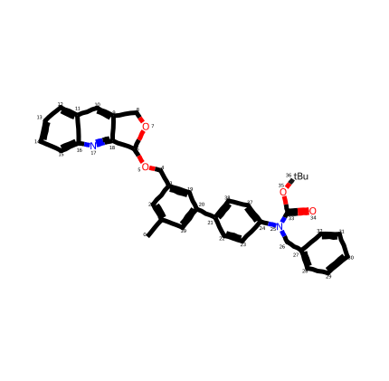 Cc1cc(COC2OCc3cc4ccccc4nc32)cc(-c2ccc(N(Cc3ccccc3)C(=O)OC(C)(C)C)cc2)c1